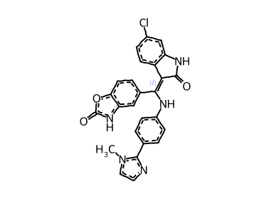 Cn1ccnc1-c1ccc(N/C(=C2\C(=O)Nc3cc(Cl)ccc32)c2ccc3oc(=O)[nH]c3c2)cc1